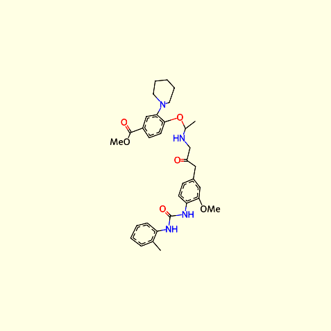 COC(=O)c1ccc(OC(C)NCC(=O)Cc2ccc(NC(=O)Nc3ccccc3C)c(OC)c2)c(N2CCCCC2)c1